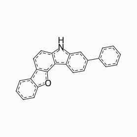 c1ccc(-c2ccc3c(c2)[nH]c2ccc4c5ccccc5oc4c23)cc1